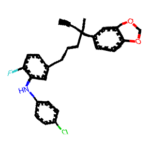 C#CC(C)(CCCc1ccc(F)c(Nc2ccc(Cl)cc2)c1)c1ccc2c(c1)OCO2